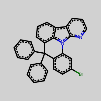 Brc1ccc2c(c1)-n1c3ncccc3c3cccc(c31)C2(c1ccccc1)c1ccccc1